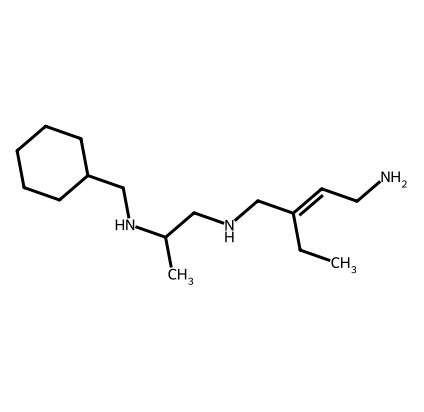 CC/C(=C\CN)CNCC(C)NCC1CCCCC1